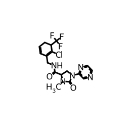 CN1C(=O)N(c2cnccn2)CC1C(=O)NCC1=C(Cl)C(C(F)(F)F)CC=C1